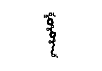 CCCCCC(=O)Oc1ccc(C(=O)Oc2ccc(NC)cc2)cc1